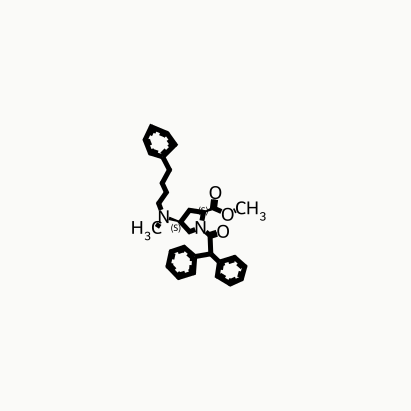 COC(=O)[C@@H]1C[C@H](N(C)CCCCc2ccccc2)CN1C(=O)C(c1ccccc1)c1ccccc1